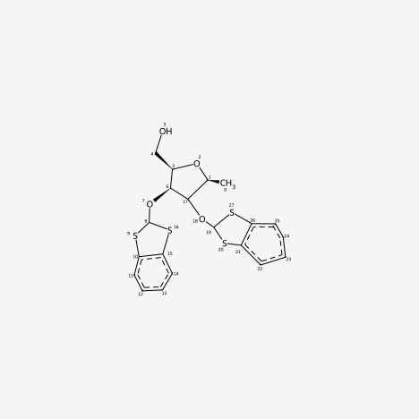 C[C@@H]1O[C@H](CO)[C@H](OC2Sc3ccccc3S2)C1OC1Sc2ccccc2S1